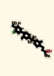 CCC(CC)(c1ccc(CCC(O)C(C)(C)C)c(C)c1)c1ccc(-c2ccc(CC(=O)O)c(F)c2)c(C)c1